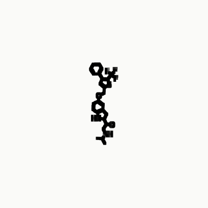 CC(C)NCC(=O)C1Cc2cc(OCc3cc(-c4ccccc4)c(C(F)(F)F)s3)ccc2N1